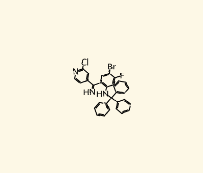 N=C(c1ccnc(Cl)c1)c1cc(Br)c(F)cc1NC(c1ccccc1)(c1ccccc1)c1ccccc1